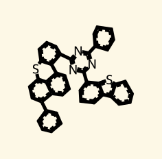 c1ccc(-c2nc(-c3cccc4c3-c3cccc5c(-c6ccccc6)ccc(c35)S4)nc(-c3cccc4c3sc3ccccc34)n2)cc1